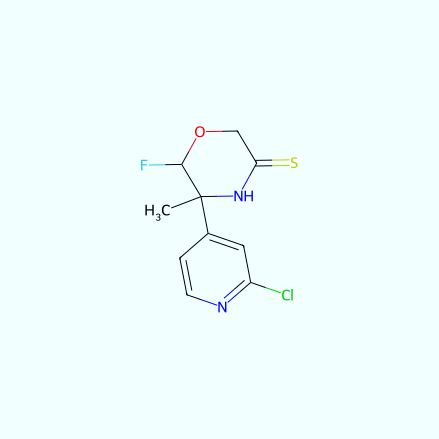 CC1(c2ccnc(Cl)c2)NC(=S)COC1F